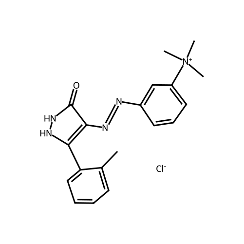 Cc1ccccc1-c1[nH][nH]c(=O)c1/N=N/c1cccc([N+](C)(C)C)c1.[Cl-]